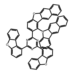 c1ccc2cc3c(cc2c1)oc1ccc(-c2nc(-c4cccc5oc6ccccc6c45)nc(-c4cccc5oc6ccccc6c45)n2)c(-n2c4ccccc4c4cc5ccccc5cc42)c13